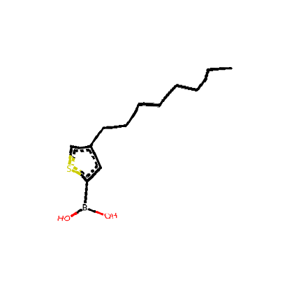 CCCCCCCCc1csc(B(O)O)c1